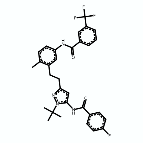 Cc1ccc(NC(=O)c2cccc(C(F)(F)F)c2)cc1CCc1cc(NC(=O)c2ccc(F)cc2)n(C(C)(C)C)n1